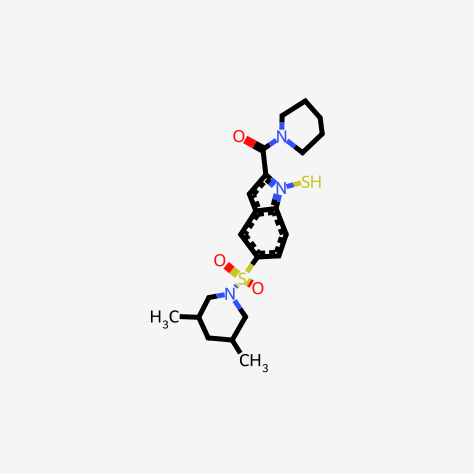 CC1CC(C)CN(S(=O)(=O)c2ccc3c(c2)cc(C(=O)N2CCCCC2)n3S)C1